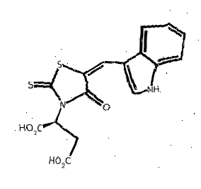 O=C(O)C[C@@H](C(=O)O)N1C(=O)/C(=C\c2c[nH]c3ccccc23)SC1=S